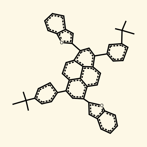 CC(C)(C)c1ccc(-c2cc(-c3cc4ccccc4o3)c3ccc4c(-c5cccc(C(C)(C)C)c5)cc(-c5cc6ccccc6o5)c5ccc2c3c45)cc1